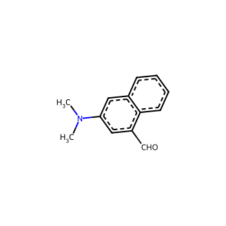 CN(C)c1cc(C=O)c2ccccc2c1